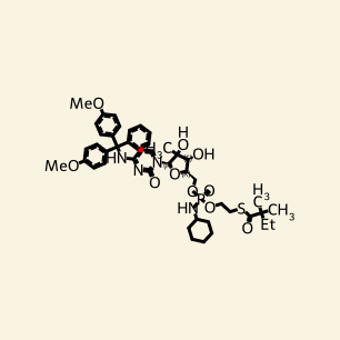 CCC(C)(C)C(=O)SCCOP(=O)(NC1CCCCC1)OC[C@H]1O[C@@H](n2ccc(NC(c3ccccc3)(c3ccc(OC)cc3)c3ccc(OC)cc3)nc2=O)C(C)(O)[C@H]1O